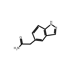 NC(=O)[CH]c1ccc2[nH]ncc2c1